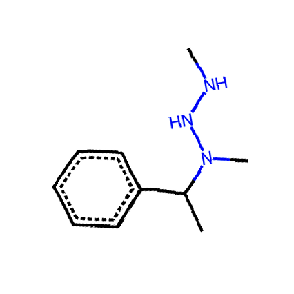 CNNN(C)C(C)c1ccccc1